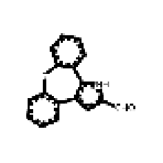 O=Cc1cc2c([nH]1)-c1ccccc1Sc1ccccc1-2